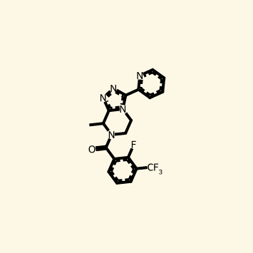 CC1c2nnc(-c3ccccn3)n2CCN1C(=O)c1cccc(C(F)(F)F)c1F